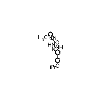 Cc1cccc2nc(C(=O)Nc3nc4cc(-c5ccc(OC(C)C)cc5)ccc4[nH]3)cn12